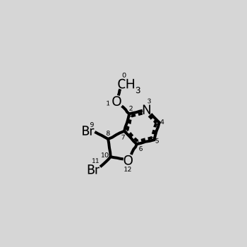 COc1nccc2c1C(Br)C(Br)O2